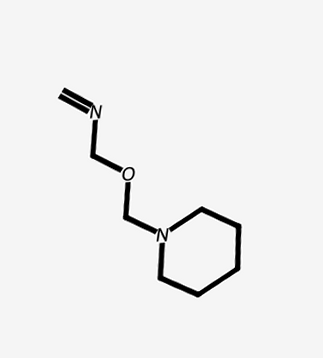 C=NCOCN1CCCCC1